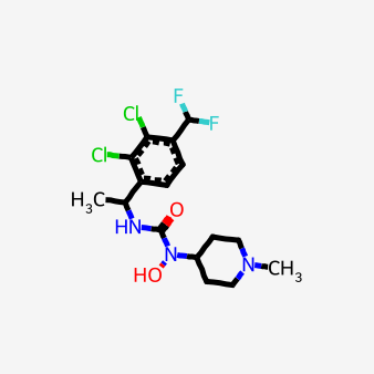 CC(NC(=O)N(O)C1CCN(C)CC1)c1ccc(C(F)F)c(Cl)c1Cl